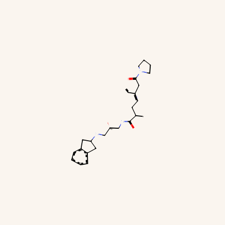 C=C/C(=C\CC(C)C(=O)NC[C@H](O)CNC1Cc2ccccc2C1)CC(=O)N1CCCC1